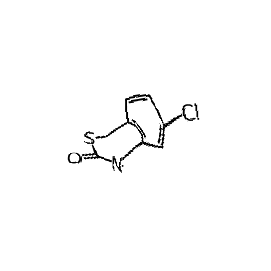 O=C1[N]c2cc(Cl)ccc2S1